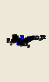 CCOC(=O)N1CCN(C2CCC(CNc3nc(NCc4ccccc4OC(F)(F)F)ncc3[N+](=O)[O-])CC2)CC1